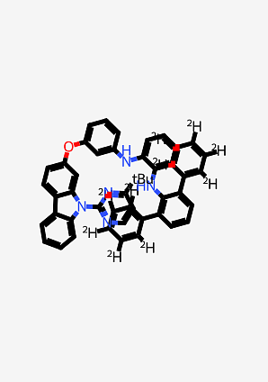 [2H]c1c([2H])c([2H])c(-c2cccc(-c3c([2H])c([2H])c([2H])c([2H])c3[2H])c2Nc2ccccc2Nc2cccc(Oc3ccc4c5ccccc5n(-c5nccc(C(C)(C)C)n5)c4c3)c2)c([2H])c1[2H]